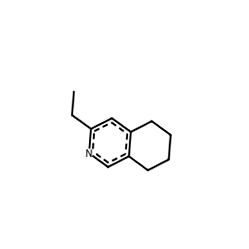 CCc1cc2c(cn1)CCCC2